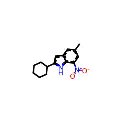 Cc1cc([N+](=O)[O-])c2[nH]c(C3CCCCC3)cc2c1